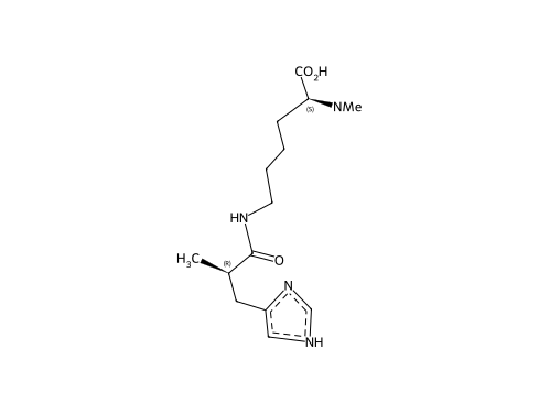 CN[C@@H](CCCCNC(=O)[C@H](C)Cc1c[nH]cn1)C(=O)O